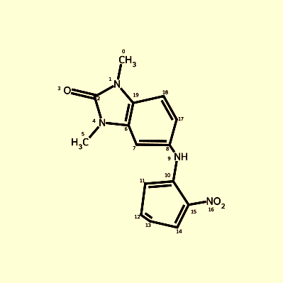 Cn1c(=O)n(C)c2cc(Nc3ccccc3[N+](=O)[O-])ccc21